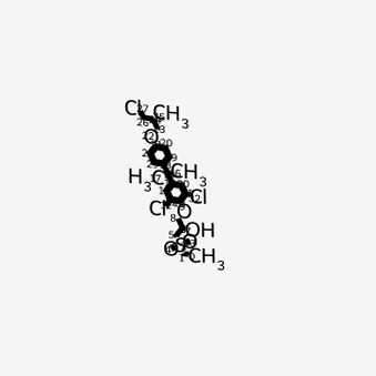 CCS(=O)(=O)CC(O)COc1c(Cl)cc(C(C)(C)c2ccc(OCC(C)CCl)cc2)cc1Cl